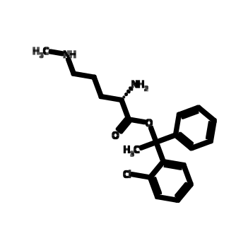 CNCCC[C@H](N)C(=O)OC(C)(c1ccccc1)c1ccccc1Cl